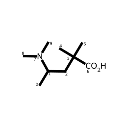 CC(CC(C)(C)C(=O)O)N(C)C